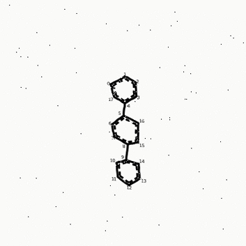 [c]1cccc(-c2c[c]c(-c3ccccc3)cc2)c1